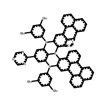 CC(C)(C)c1cc(N2c3cc(-c4ncncn4)cc4c3B(c3c2cc2c5cccc6cccc(c7cccc3c72)c65)c2c(cc3c5cccc6cccc(c7cccc2c73)c65)N4c2cc(C(C)(C)C)cc(C(C)(C)C)c2)cc(C(C)(C)C)c1